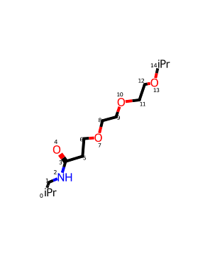 CC(C)CNC(=O)CCOCCOCCOC(C)C